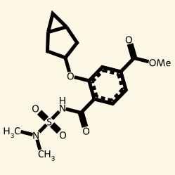 COC(=O)c1ccc(C(=O)NS(=O)(=O)N(C)C)c(OC2CC3CC3C2)c1